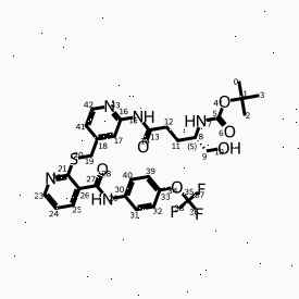 CC(C)(C)OC(=O)N[C@H](CO)CCC(=O)Nc1cc(CSc2ncccc2C(=O)Nc2ccc(OC(F)(F)F)cc2)ccn1